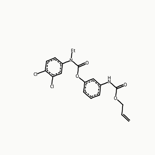 C=CCOC(=O)Nc1cccc(OC(=O)N(CC)c2ccc(Cl)c(Cl)c2)c1